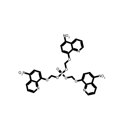 O=[N+]([O-])c1ccc(OCOP(=O)(OCOc2ccc([N+](=O)[O-])c3cccnc23)OCOc2ccc([N+](=O)[O-])c3cccnc23)c2ncccc12